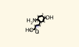 Nc1ccc(O)cc1/C=C/C(=O)O